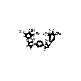 CC(C)(C)c1cc(SC2CC(=O)N(c3ccc(N4C(=O)CC(Sc5cc(C(C)(C)C)c(O)c(C(C)(C)C)c5)C4=O)cc3)C2=O)cc(C(C)(C)C)c1O